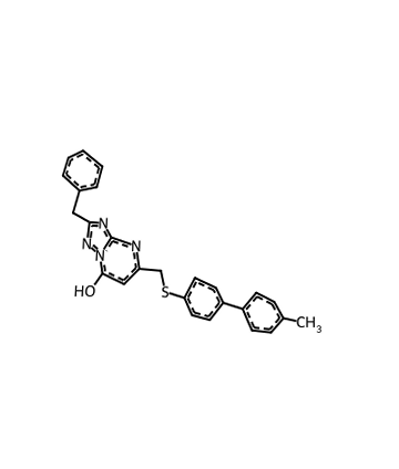 Cc1ccc(-c2ccc(SCc3cc(O)n4nc(Cc5ccccc5)nc4n3)cc2)cc1